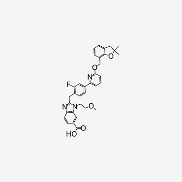 COCCn1c(Cc2ccc(-c3cccc(OCc4cccc5c4OC(C)(C)C5)n3)cc2F)nc2ccc(C(=O)O)cc21